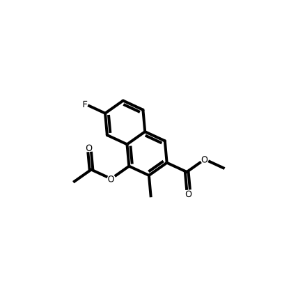 COC(=O)c1cc2ccc(F)cc2c(OC(C)=O)c1C